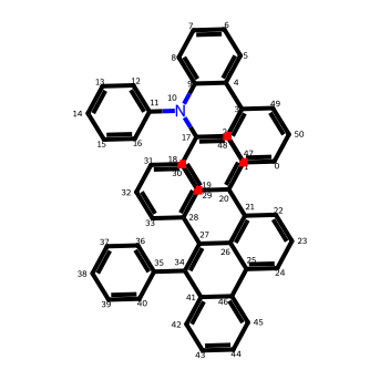 c1ccc(-c2ccccc2N(c2ccccc2)c2ccc(-c3cccc4c3c(-c3ccccc3)c(-c3ccccc3)c3ccccc34)cc2)cc1